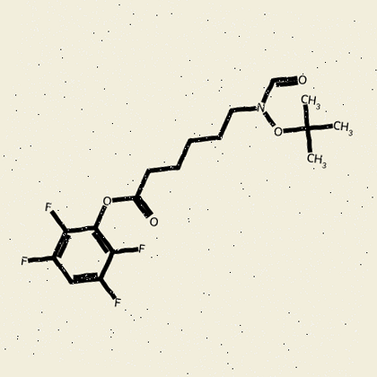 CC(C)(C)ON(C=O)CCCCCC(=O)Oc1c(F)c(F)cc(F)c1F